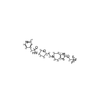 Cc1cc(CC(=O)N[C@H]2CC[C@H](CCN3CCc4nc(OCC(F)(F)F)sc4CC3)OC2)ccn1